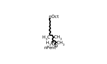 CCCCCCCC/C=C/CCCCCCCCC(C)CC(C)CC(C)CC(C)C(=O)OCCCCC